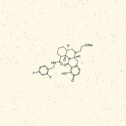 COCCN1C[C@@H]2CCCC(C(=O)NCc3ccc(F)cc3F)[C@H]2N2C(=O)c3c(O)c(=O)ccn3C[C@@H]12